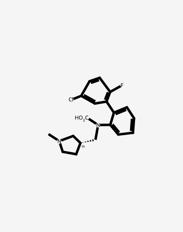 CN1CC[C@@H](CN(C(=O)O)c2ccccc2-c2cc(Cl)ccc2F)C1